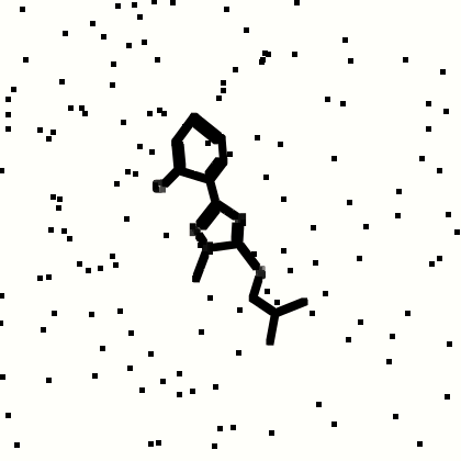 CC(C)CSc1nc(-c2ccccc2Cl)nn1C